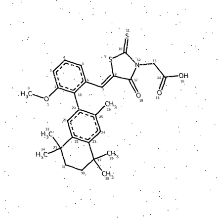 COc1cccc(C=C2SC(=S)N(CC(=O)O)C2=O)c1-c1cc2c(cc1C)C(C)(C)CCC2(C)C